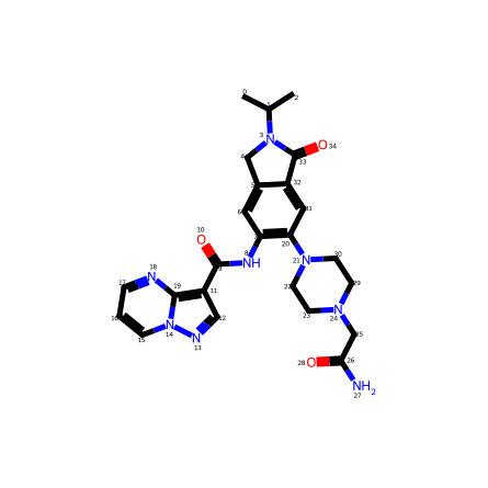 CC(C)N1Cc2cc(NC(=O)c3cnn4cccnc34)c(N3CCN(CC(N)=O)CC3)cc2C1=O